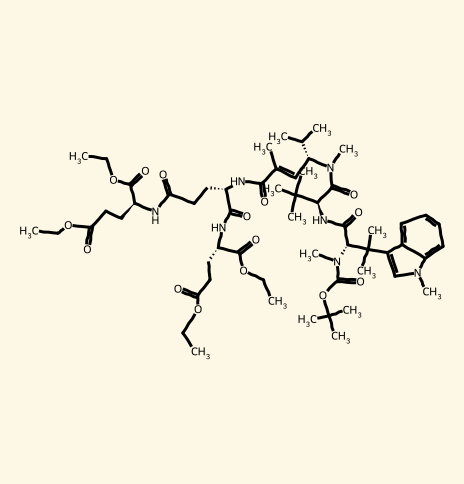 CCOC(=O)CC[C@H](NC(=O)CC[C@H](NC(=O)/C(C)=C/[C@H](C(C)C)N(C)C(=O)[C@@H](NC(=O)[C@@H](N(C)C(=O)OC(C)(C)C)C(C)(C)c1cn(C)c2ccccc12)C(C)(C)C)C(=O)N[C@@H](CCC(=O)OCC)C(=O)OCC)C(=O)OCC